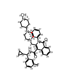 CN1CCC(N2CCN(Cc3c(C(=O)NC(c4cccc(F)c4)C4CC4)c4ccccc4c(=O)n3-c3ccccc3)CC2)CC1